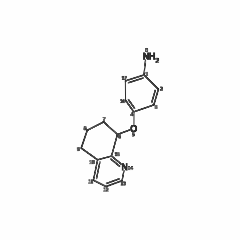 Nc1ccc(OC2CCCc3cccnc32)cc1